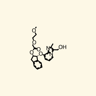 COCCOCC(=O)O[C@@H]1Cc2ccccc2[C@H]1Oc1cccn2c(CO)c(C)nc12